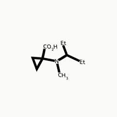 CCC(CC)N(C)C1(C(=O)O)CC1